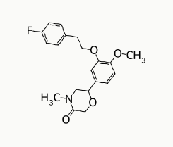 COc1ccc(C2CN(C)C(=O)CO2)cc1OCCc1ccc(F)cc1